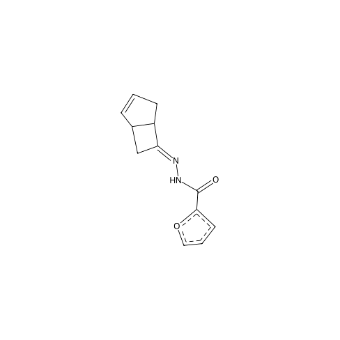 O=C(N/N=C1\CC2C=CCC12)c1ccco1